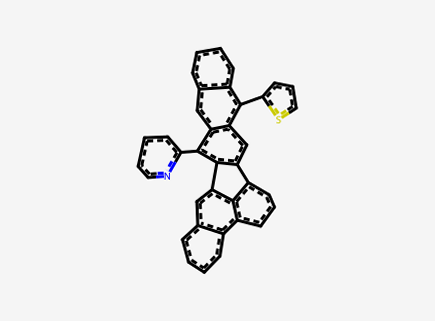 c1ccc(-c2c3c(cc4c(-c5cccs5)c5ccccc5cc24)-c2cccc4c2c-3cc2ccccc24)nc1